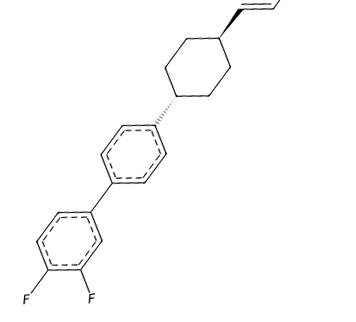 CCCC=C[C@H]1CC[C@H](c2ccc(-c3ccc(F)c(F)c3)cc2)CC1